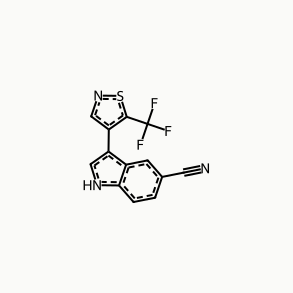 N#Cc1ccc2[nH]cc(-c3cnsc3C(F)(F)F)c2c1